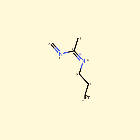 C=N/C(C)=N\CCC(C)C